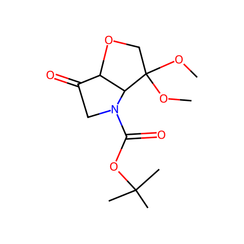 COC1(OC)COC2C(=O)CN(C(=O)OC(C)(C)C)C21